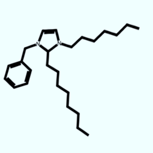 CCCCCCCCC1N(CCCCCCC)C=CN1Cc1ccccc1